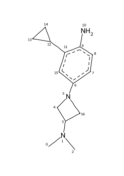 CN(C)C1CN(c2ccc(N)c(C3CC3)c2)C1